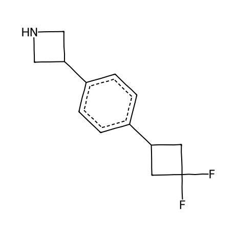 FC1(F)CC(c2ccc(C3CNC3)cc2)C1